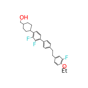 CCOc1ccc(CCc2ccc(-c3ccc(C4CCC(CO)CC4)c(F)c3F)cc2)cc1F